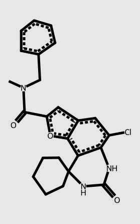 CN(Cc1ccccc1)C(=O)c1cc2cc(Cl)c3c(c2o1)C1(CCCCC1)NC(=O)N3